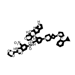 O=C(NS(=O)(=O)c1cc2c(c([N+](=O)[O-])c1)N[C@H]([C@H]1COCCO1)CO2)c1ccc(N2CCC3(CC2)CC(N2CCC[C@H]2c2ccccc2C2CC2)C3)cc1N1c2cc3cc[nH]c3nc2O[C@H]2COCC[C@@H]21